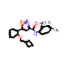 N#Cc1ccc(NC(=O)c2cc(-c3ccccc3OCC3CCC3)on2)c(C(=O)O)c1